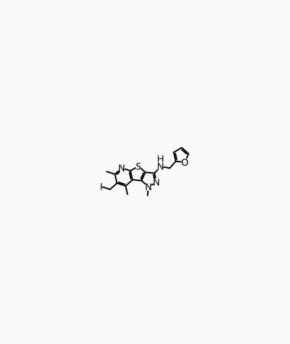 Cc1nc2sc3c(NCc4ccco4)nn(C)c3c2c(C)c1CI